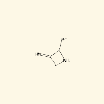 CCCC1NCC1=N